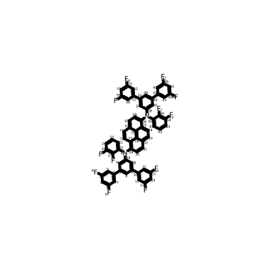 Fc1cc(F)cc(-c2cc(-c3cc(F)cc(F)c3)cc(N(c3cccc(F)c3F)c3ccc4ccc5c(N(c6cc(-c7cc(F)cc(F)c7)cc(-c7cc(F)cc(F)c7)c6)c6cccc(F)c6F)ccc6ccc3c4c65)c2)c1